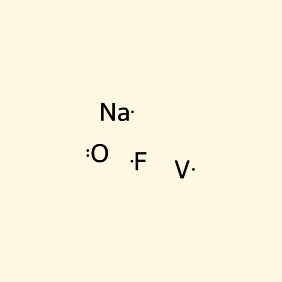 [F].[Na].[O].[V]